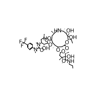 CCCNC[C@]1(O)[C@H](C)O[C@@H](O[C@H]2[C@H](C)[C@@H](O[C@@H]3O[C@H](C)C[C@H](N(C)C(=O)N(C)c4ccc(C(F)(F)F)cc4)[C@H]3O)[C@](C)(O)C[C@@H](C)CN[C@H](C)[C@@H](O)[C@](C)(O)[C@@H](CC)OC(=O)[C@@H]2C)C[C@@]1(C)OC